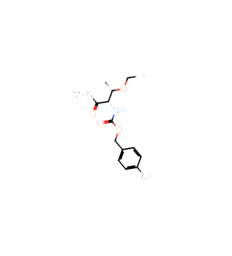 CNC(=O)[C@@H](NC(=O)OCc1ccc([N+](=O)[O-])cc1)[C@@H](C)OCC(F)(F)F